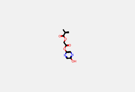 C=C(C)C(=O)OCC(=O)Oc1cnc(O)cn1